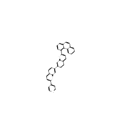 c1ccc2c(c1)ccc1cccc(-c3ccc4ccc(-c5ccc6ccc(-c7ccncc7)nc6c5)cc4n3)c12